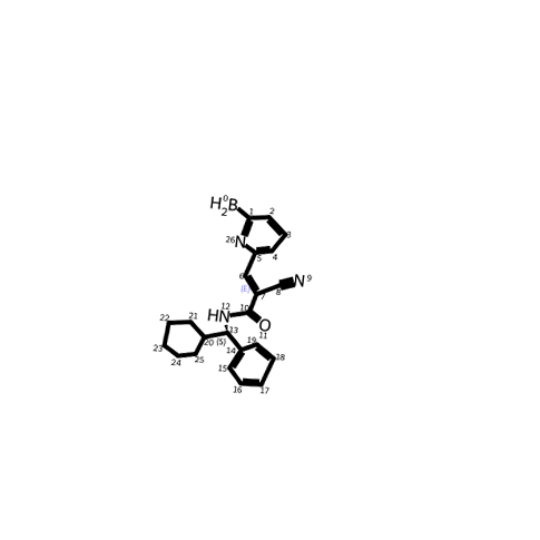 Bc1cccc(/C=C(\C#N)C(=O)N[C@H](c2ccccc2)C2CCCCC2)n1